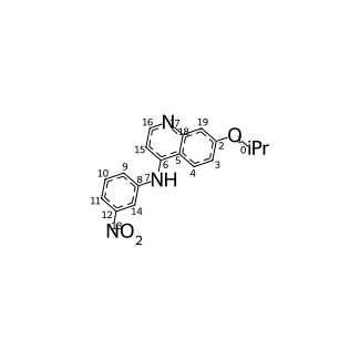 CC(C)Oc1ccc2c(Nc3cccc([N+](=O)[O-])c3)ccnc2c1